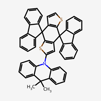 CC1(C)c2ccccc2N(c2cc3c(s2)C2(c4ccccc4-c4ccccc42)c2ccsc2C32c3ccccc3-c3ccccc32)c2ccccc21